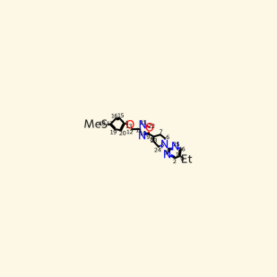 CCc1cnc(N2CCC(c3nc(COc4ccc(SC)cc4)no3)CC2)nc1